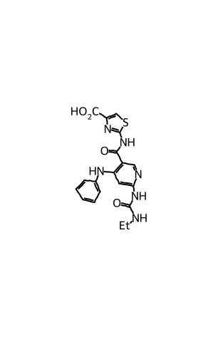 CCNC(=O)Nc1cc(Nc2ccccc2)c(C(=O)Nc2nc(C(=O)O)cs2)cn1